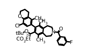 CCOC(=O)[C@@H](OC(C)(C)C)c1c(C)c2c(c(C)c1-c1cc(Cl)c3c(c1C)CCCO3)CCN(C(=O)c1cccc(F)c1)CC2